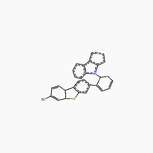 N#CC1=CC2Sc3cc(C4=CC=CCC4n4c5ccccc5c5ccccc54)ccc3C2C=C1